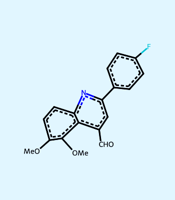 COc1ccc2nc(-c3ccc(F)cc3)cc(C=O)c2c1OC